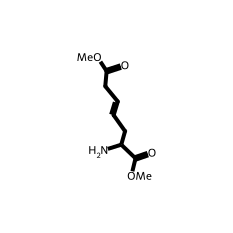 COC(=O)CC=CCC(N)C(=O)OC